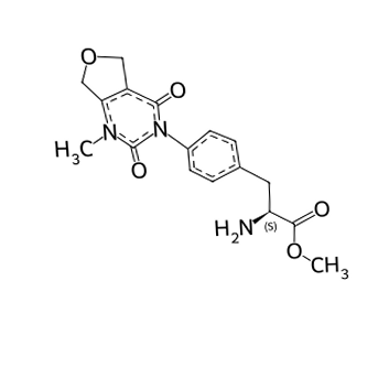 COC(=O)[C@@H](N)Cc1ccc(-n2c(=O)c3c(n(C)c2=O)COC3)cc1